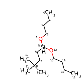 CCCCO[SiH](CCC(C)(C)C)OCCCC